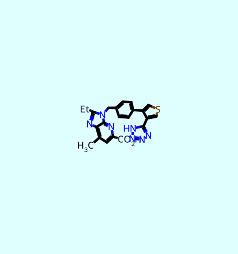 CCc1nc2c(C)cc(C(=O)O)nc2n1Cc1ccc(-c2cscc2-c2nnn[nH]2)cc1